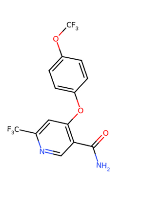 NC(=O)c1cnc(C(F)(F)F)cc1Oc1ccc(OC(F)(F)F)cc1